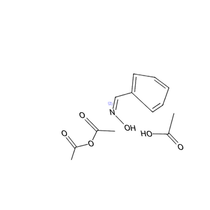 CC(=O)O.CC(=O)OC(C)=O.O/N=C\c1ccccc1